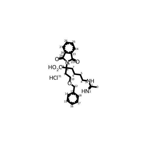 CC(=N)NCCCCC(CCOCc1ccccc1)(C(=O)O)N1C(=O)c2ccccc2C1=O.Cl